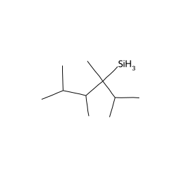 CC(C)C(C)C(C)([SiH3])C(C)C